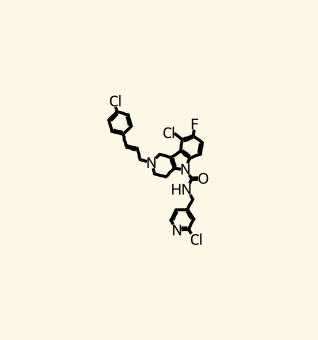 O=C(NCc1ccnc(Cl)c1)n1c2c(c3c(Cl)c(F)ccc31)CN(C/C=C/c1ccc(Cl)cc1)CC2